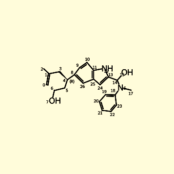 C=C(C)C[C@H](CCO)c1ccc2[nH]c(C(O)N(C)c3ccccc3)cc2c1